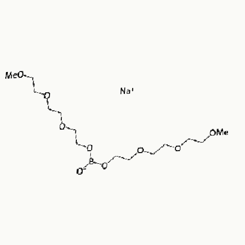 COCCOCCOCCOB([O-])OCCOCCOCCOC.[Na+]